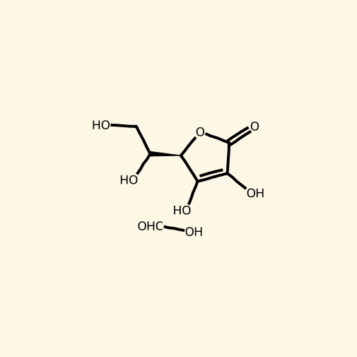 O=C1O[C@H](C(O)CO)C(O)=C1O.O=CO